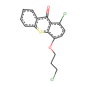 O=c1c2ccccc2sc2c(OCCCCl)ccc(Cl)c12